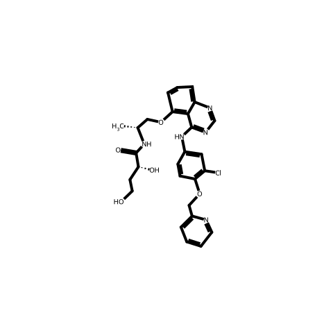 C[C@H](COc1cccc2ncnc(Nc3ccc(OCc4ccccn4)c(Cl)c3)c12)NC(=O)[C@H](O)CCO